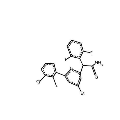 CCc1cc(-c2cccc(Cl)c2C)nc(C(C(N)=O)c2c(F)cccc2F)c1